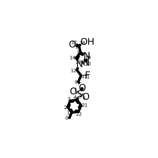 Cc1ccc(S(=O)(=O)OC[C@@H](F)Cn2cc(C(=O)O)nn2)cc1